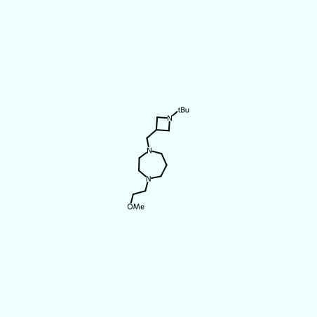 COCCN1CCCN(CC2CN(C(C)(C)C)C2)CC1